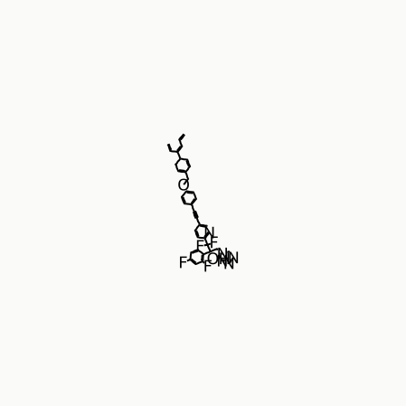 C=C/C=C(\C=C)C1C=CC(COc2ccc(C#Cc3ccc(C(F)(F)C(O)(Cn4cnnn4)c4ccc(F)cc4F)nc3)cc2)=CC1